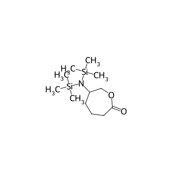 C[Si](C)(C)N(C1CCCC(=O)OC1)[Si](C)(C)C